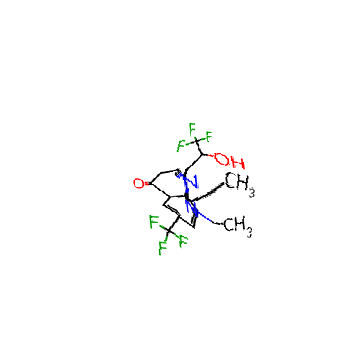 CC1C(CC(O)C(F)(F)F)C23N=CCC(=O)C2C=C(C(F)(F)F)C=C3N1C